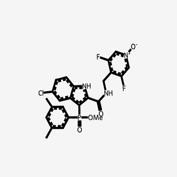 COP(=O)(c1cc(C)cc(C)c1)c1c(C(=O)NCc2c(F)c[n+]([O-])cc2F)[nH]c2ccc(Cl)cc12